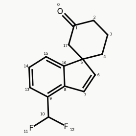 O=C1CCCC2(C=Cc3c(C(F)F)cccc32)C1